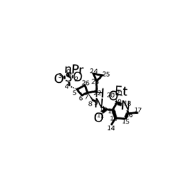 CCCS(=O)(=O)C[C@H]1C[C@@](CNC(=O)c2c(C)cc(C)nc2OCC)(CC2CC2)C1